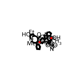 CCC12C=CCN3CC[C@@]4(c5cc([C@@]6(C(=O)OC)CC7C[N@](CCc8c6[nH]c6ccccc86)C[C@](O)(CC)C7)c(OC)cc5N(C=O)[C@H]4[C@@](C)(C(=O)N=[N+]=[N-])[C@@H]1O)[C@@H]32